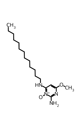 CCCCCCCCCCCCCNc1cc(OC)nc(N)[n+]1[O-]